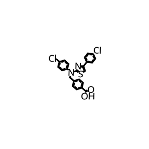 O=C(O)c1ccc(CN(c2ccc(Cl)cc2)c2nc(-c3ccc(Cl)cc3)cs2)cc1